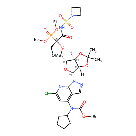 CCOP(=O)(OCC)[C@@](COC)(OC[C@H]1O[C@@H](n2ncc3c(N(C(=O)OC(C)(C)C)C4CCCC4)cc(Cl)nc32)[C@@H]2OC(C)(C)O[C@@H]21)C(=O)NS(=O)(=O)N1CCC1